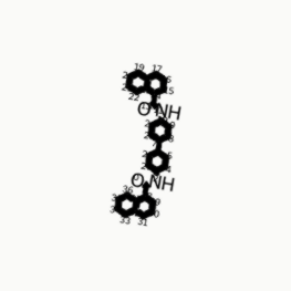 O=C(Nc1ccc(-c2ccc(NC(=O)c3cccc4ccccc34)cc2)cc1)c1cccc2ccccc12